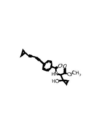 COC(=O)C(NC(=O)c1ccc(C#CC#CC2CC2)cc1)C1(O)CC1